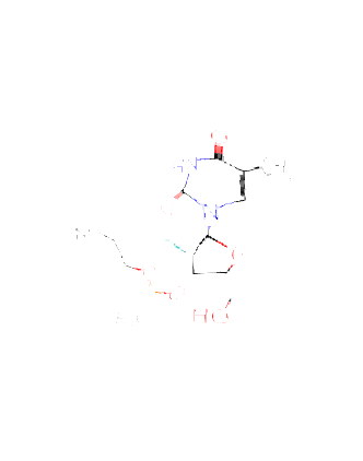 Cc1cn([C@@H]2O[C@H](CO)[C@H](OP(C)OCCC#N)[C@H]2F)c(=O)[nH]c1=O